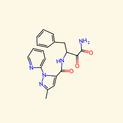 Cc1cc(C(=O)NC(Cc2ccccc2)C(=O)C(N)=O)n(-c2ccccn2)n1